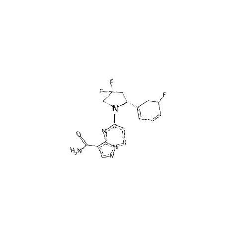 NC(=O)c1cnn2ccc(N3CC(F)(F)C[C@@H]3C3=CC=CC(F)C3)nc12